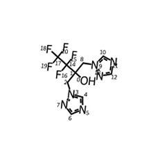 OC(Cn1cncn1)(Cn1cncn1)C(F)(F)C(F)(F)F